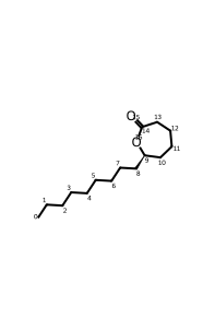 CCCCCCCCC[C@@H]1CCCCC(=O)O1